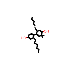 CCCCCCc1cc(O)ccc1C1=CC(C)(C)C(O)=CC1CCCCCC